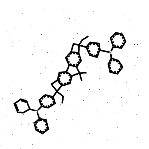 CCC1(c2ccc(N(c3ccccc3)c3ccccc3)cc2)Cc2cc3c(cc21)C(C)(C)c1cc2c(cc1-3)CC2(CC)c1ccc(N(c2ccccc2)C2C=CC=CC2)cc1